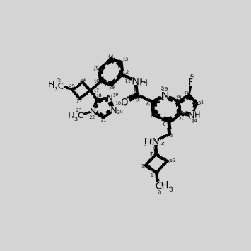 CC1CC(NCc2cc(C(=O)Nc3cccc(C4(c5nncn5C)CC(C)C4)c3)nc3c(F)c[nH]c23)C1